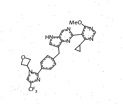 COc1ncnc(C2CC2)c1-c1ncc2[nH]cc(Cc3ccc(-c4nc(C(F)(F)F)cn4C4COC4)cc3)c2n1